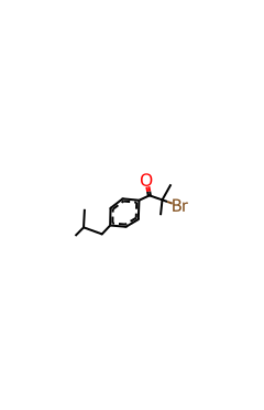 CC(C)Cc1ccc(C(=O)C(C)(C)Br)cc1